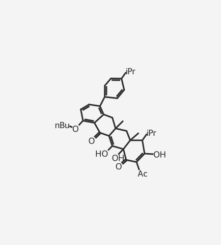 CCCCOc1ccc(-c2ccc(C(C)C)cc2)c2c1C(=O)C1=C(O)C3(O)C(=O)C(C(C)=O)=C(O)C(C(C)C)C3(C)CC1(C)C2